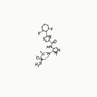 CO[C@H]1[C@H](N)CCN(c2c(NC(=O)c3csc(-c4c(F)cccc4F)n3)cnn2C)C[C@@H]1C